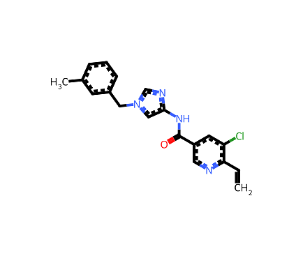 C=Cc1ncc(C(=O)Nc2cn(Cc3cccc(C)c3)cn2)cc1Cl